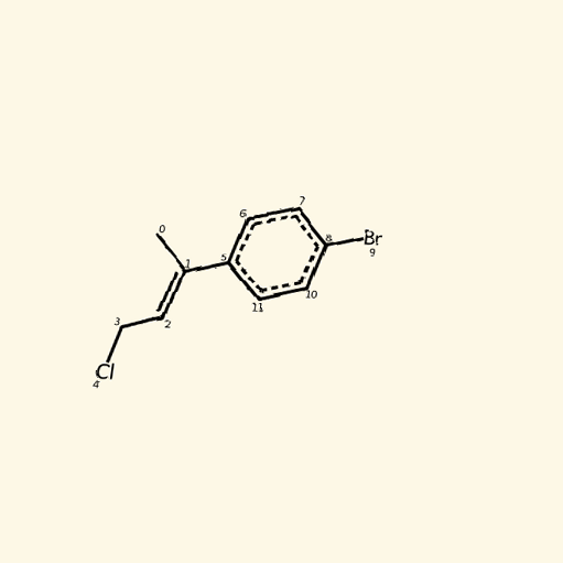 CC(=CCCl)c1ccc(Br)cc1